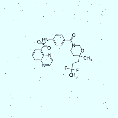 CC(F)(F)CCC1(C)CCN(C(=O)c2ccc(NS(=O)(=O)c3cccc4nccnc34)cc2)CO1